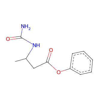 CC(CC(=O)Oc1ccccc1)NC(N)=O